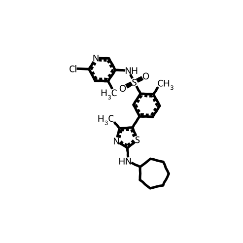 Cc1cc(Cl)ncc1NS(=O)(=O)c1cc(-c2sc(NC3CCCCCC3)nc2C)ccc1C